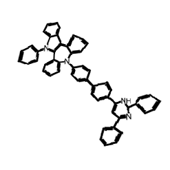 C1=C(c2ccc(-c3ccc(N4c5ccccc5-c5c(n(-c6ccccc6)c6ccccc56)-c5ccccc54)cc3)cc2)NC(c2ccccc2)N=C1c1ccccc1